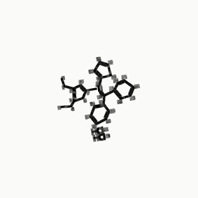 CCC1=C(CC)C[C]([Ti]([C]2=CC=CC2)=[C](c2ccccc2)c2ccccc2)=C1.Cl.Cl